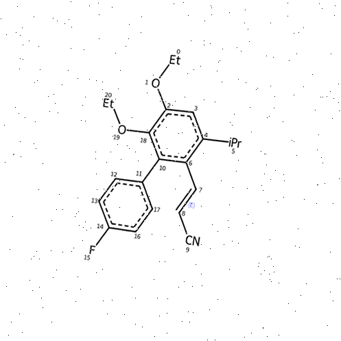 CCOc1cc(C(C)C)c(/C=C/C#N)c(-c2ccc(F)cc2)c1OCC